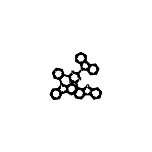 c1ccc(-n2c3ccccc3c3ccccc32)c(-c2nc(-c3cccc4c3oc3ccccc34)nc(-n3c4ccccc4c4ccccc43)n2)c1